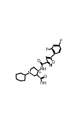 O=C(N[C@@H]1CCN(C2CCCCC2)CC1C(=O)O)c1cc(-c2ccc(F)cc2F)on1